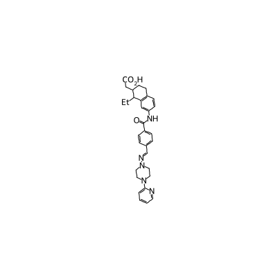 CCC1c2cc(NC(=O)c3ccc(C=NN4CCN(c5ccccn5)CC4)cc3)ccc2CCC1CC(=O)O